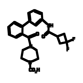 O=C(Nc1cccc(-c2ccccc2C(=O)N2CCN(C(=O)O)CC2)c1)C1CC(F)(F)C1